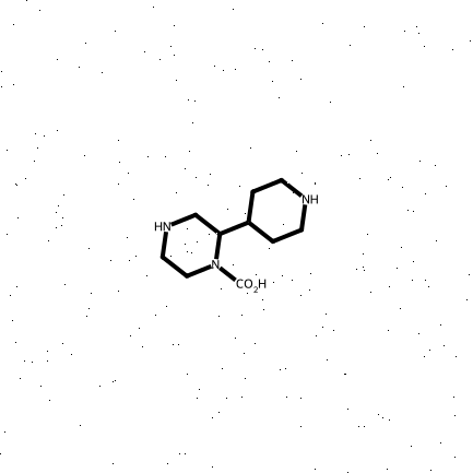 O=C(O)N1CCNCC1C1CCNCC1